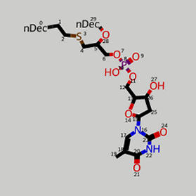 CCCCCCCCCCCCSCC(COP(=O)(O)OCC1OC(n2cc(C)c(=O)[nH]c2=O)CC1O)OCCCCCCCCCC